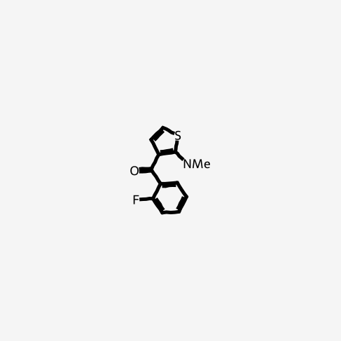 CNc1sccc1C(=O)c1ccccc1F